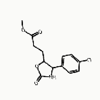 COC(=O)CCC1OC(=O)NC1c1ccc(Cl)cc1